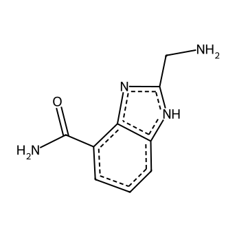 NCc1nc2c(C(N)=O)cccc2[nH]1